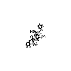 CC(C)C[C@@H](C(=O)NN1C(=O)[C@H](CO)N(Cc2ccccc2)C1=O)[C@H](CCCc1ccccc1)C(=O)NO